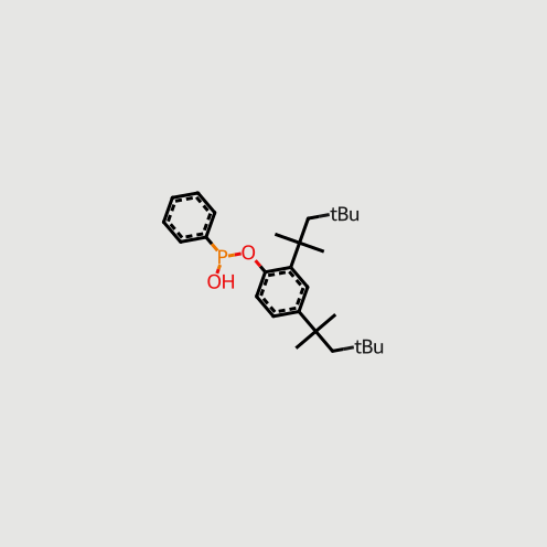 CC(C)(C)CC(C)(C)c1ccc(OP(O)c2ccccc2)c(C(C)(C)CC(C)(C)C)c1